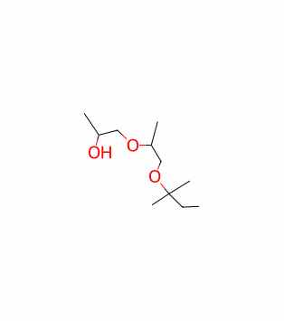 CCC(C)(C)OCC(C)OCC(C)O